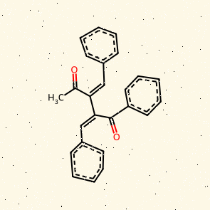 CC(=O)C(=Cc1ccccc1)C(=Cc1ccccc1)C(=O)c1ccccc1